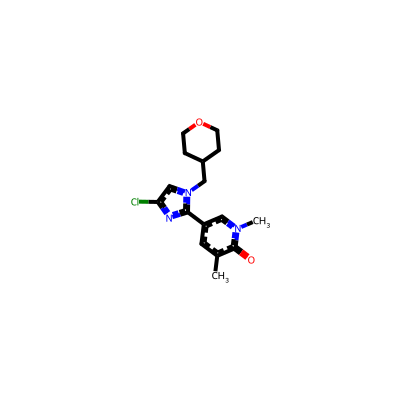 Cc1cc(-c2nc(Cl)cn2CC2CCOCC2)cn(C)c1=O